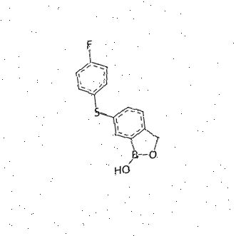 OB1OCc2ccc(Sc3ccc(F)cc3)cc21